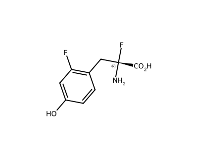 N[C@@](F)(Cc1ccc(O)cc1F)C(=O)O